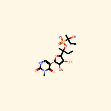 CCC(C)(OP(=O)(O)C(C)(O)CC)C1O[C@@H](c2c[nH]c(=O)n(C)c2=O)[C@H](O)[C@@H]1O